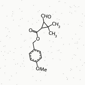 COc1ccc(COC(=O)C2C(C=O)C2(C)C)cc1